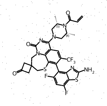 C=CC(=O)N1[C@H](C)CN(c2nc(=O)n3c4c(c(-c5c(F)cc(F)c6sc(N)nc56)c(C(F)(F)F)cc24)SCC2(CC(=O)C2)C3)C[C@@H]1C